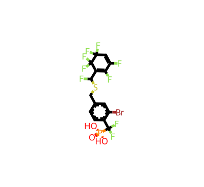 O=P(O)(O)C(F)(F)c1ccc(CSC(F)C2=C(F)C(F)=CC(F)(F)C2(F)F)cc1Br